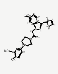 COc1cc(N2CCN(C(=O)Cn3nc(-c4ncc[nH]4)c4ccc(Cl)cc43)CC2)ccc1Cl